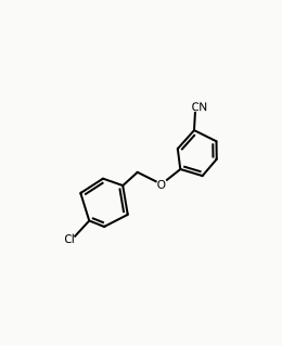 N#Cc1cccc(OCc2ccc(Cl)cc2)c1